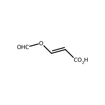 O=COC=CC(=O)O